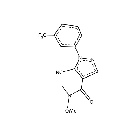 CON(C)C(=O)c1cnn(-c2cccc(C(F)(F)F)c2)c1C#N